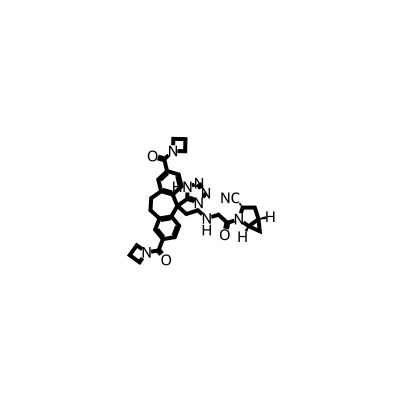 N#C[C@@H]1C[C@@H]2C[C@@H]2N1C(=O)CNCCC1(c2nnn[nH]2)c2ccc(C(=O)N3CCC3)cc2CCc2cc(C(=O)N3CCC3)ccc21